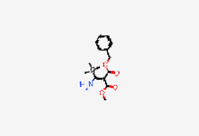 COC(=O)C(C(=O)OCc1ccccc1)=C(N)[Si](C)(C)C